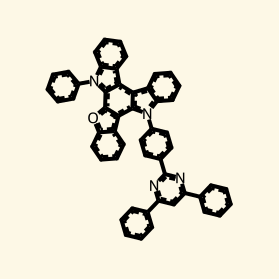 c1ccc(-c2cc(-c3ccccc3)nc(-c3ccc(-n4c5ccccc5c5c6c7ccccc7n(-c7ccccc7)c6c6oc7ccccc7c6c54)cc3)n2)cc1